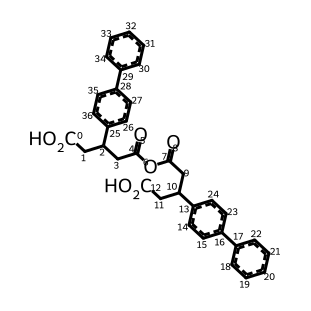 O=C(O)CC(CC(=O)OC(=O)CC(CC(=O)O)c1ccc(-c2ccccc2)cc1)c1ccc(-c2ccccc2)cc1